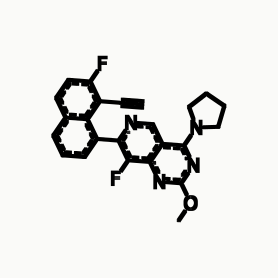 C#Cc1c(F)ccc2cccc(-c3ncc4c(N5CCCC5)nc(OC)nc4c3F)c12